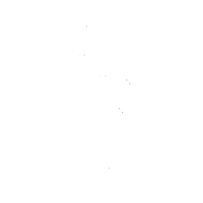 COc1ccc(CN2CCN(c3ccc(Oc4ccccc4)cc3)CC2)c(OC)c1OC